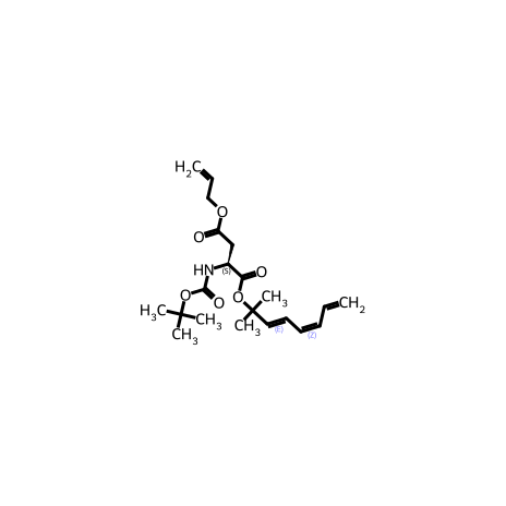 C=C/C=C\C=C\C(C)(C)OC(=O)[C@H](CC(=O)OCC=C)NC(=O)OC(C)(C)C